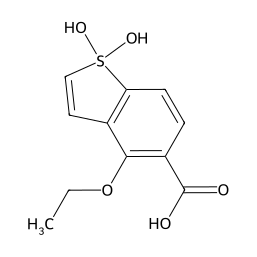 CCOc1c(C(=O)O)ccc2c1C=CS2(O)O